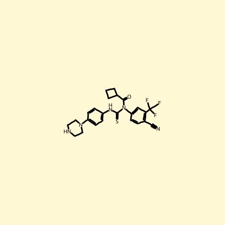 N#Cc1ccc(N(C(=O)C2CCC2)C(=S)Nc2ccc(N3CCNCC3)cc2)cc1C(F)(F)F